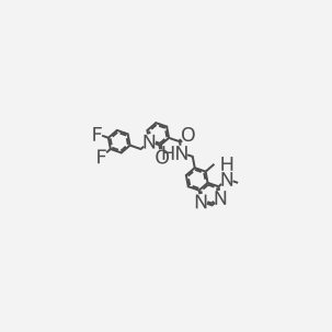 CNc1ncnc2ccc(CNC(=O)c3cccn(Cc4ccc(F)c(F)c4)c3=O)c(C)c12